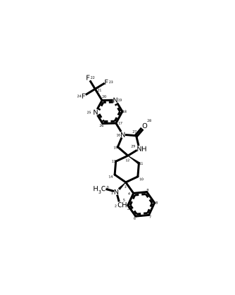 CN(C)[C@]1(c2ccccc2)CC[C@@]2(CC1)CN(c1cnc(C(F)(F)F)nc1)C(=O)N2